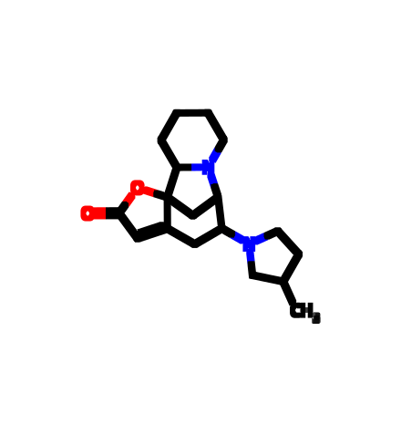 CC1CCN(C2CC3=CC(=O)OC34CC2N2CCCCC24)C1